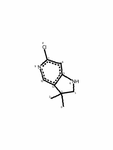 CC1(C)CNc2cc(Cl)ncc21